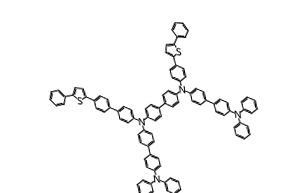 c1ccc(-c2ccc(-c3ccc(-c4ccc(N(c5ccc(-c6ccc(N(c7ccccc7)c7ccccc7)cc6)cc5)c5ccc(-c6ccc(N(c7ccc(-c8ccc(N(c9ccccc9)c9ccccc9)cc8)cc7)c7ccc(-c8ccc(-c9ccccc9)s8)cc7)cc6)cc5)cc4)cc3)s2)cc1